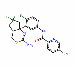 N#Cc1ccc(C(=O)Nc2ccc(F)c(C34CC(F)(F)CC3CSC(N)=N4)c2)nc1